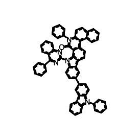 O=c1c2c(ccc3c4cc(-c5ccc6c(c5)c5ccccc5n6-c5ccccc5)ccc4n(-c4nc(-c5ccccc5)c5ccccc5n4)c32)c2c3ccccc3ccc2n1-c1ccccc1